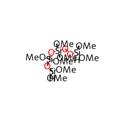 CO[SiH](OC)OO[Si](OC)(OC)O[Si](OC)(OC)O[SiH](OC)OC